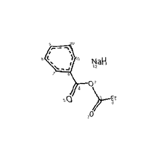 CCC(=O)OC(=O)c1ccccc1.[NaH]